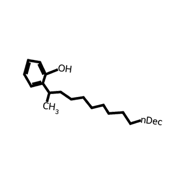 CCCCCCCCCCCCCCCCCCC(C)c1ccccc1O